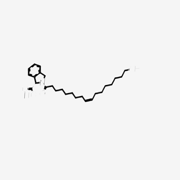 CCCCCCCC/C=C\CCCCCCCC(=O)N1Cc2ccccc2[C@@H]1C(=O)O